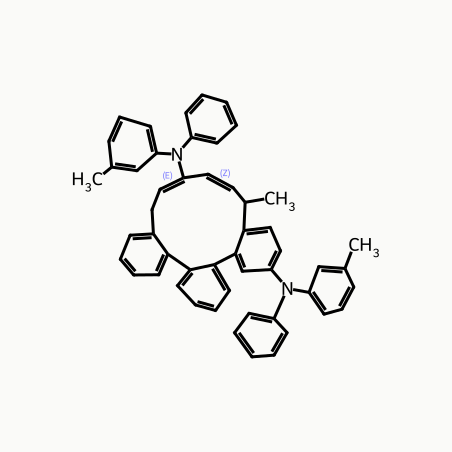 Cc1cccc(N(C2=C/Cc3ccccc3-c3ccccc3-c3cc(N(c4ccccc4)c4cccc(C)c4)ccc3C(C)/C=C\2)c2ccccc2)c1